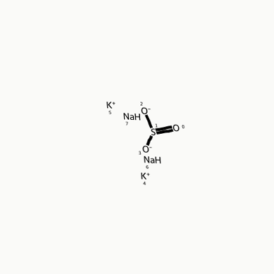 O=S([O-])[O-].[K+].[K+].[NaH].[NaH]